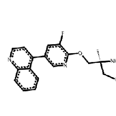 CC(C)C[C@](C)(N)COc1ncc(-c2ccnc3ccccc23)cc1F